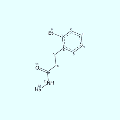 CCc1ccccc1CCC(=O)NS